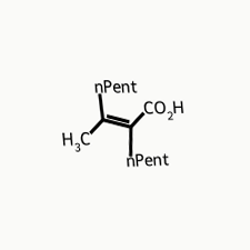 CCCCCC(C)=C(CCCCC)C(=O)O